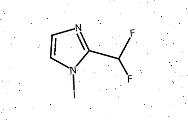 FC(F)c1nccn1I